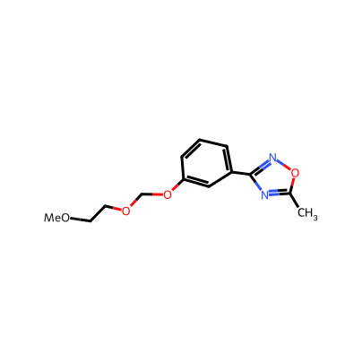 COCCOCOc1cccc(-c2noc(C)n2)c1